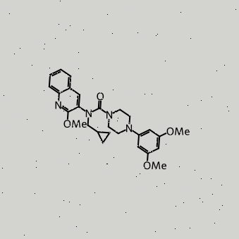 COc1cc(OC)cc(N2CCN(C(=O)N(CC3CC3)c3cc4ccccc4nc3OC)CC2)c1